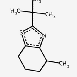 CC1CCCc2sc(C(C)(C)C)nc21